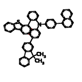 CC1(C)c2ccccc2-c2ccc(-c3ccc(N(c4ccc(-c5cccc6ccccc56)cc4)c4ccccc4-c4cccc5c4sc4ccccc45)cc3)cc21